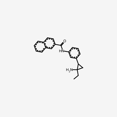 CCC1(N)CC1c1cccc(NC(=O)c2ccc3ccccc3c2)c1